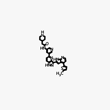 Cc1ccc(-c2ccnc3[nH]c(-c4n[nH]c5ccc(-c6cncc(NC(=O)CC7CCNCC7)c6)nc45)cc23)s1